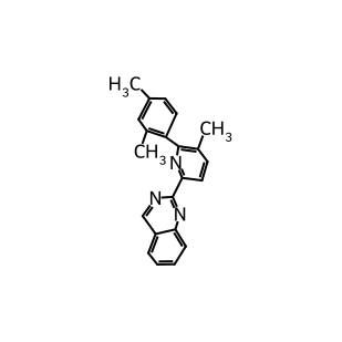 Cc1ccc(-c2nc(-c3ncc4ccccc4n3)ccc2C)c(C)c1